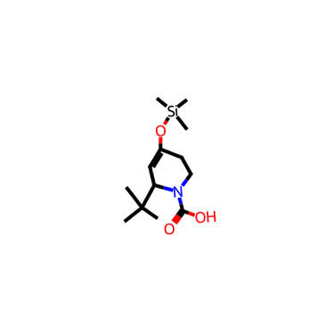 CC(C)(C)C1C=C(O[Si](C)(C)C)CCN1C(=O)O